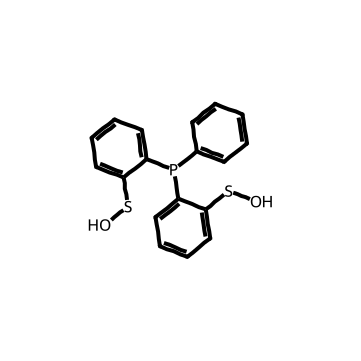 OSc1ccccc1P(c1ccccc1)c1ccccc1SO